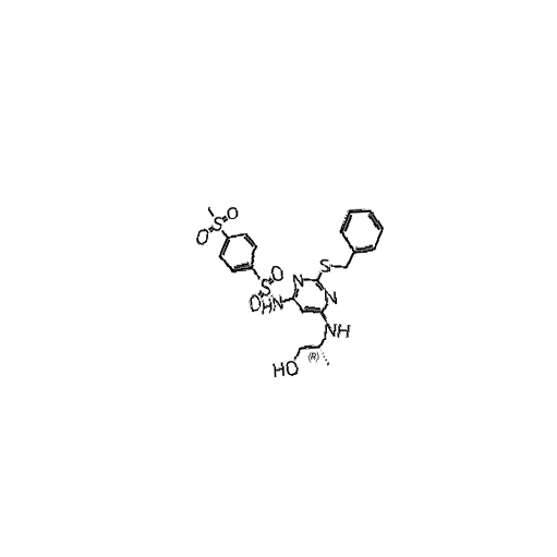 C[C@H](CO)Nc1cc(NS(=O)(=O)c2ccc(S(C)(=O)=O)cc2)nc(SCc2ccccc2)n1